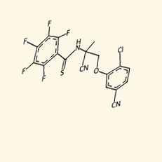 CC(C#N)(COc1cc(C#N)ccc1Cl)NC(=S)c1c(F)c(F)c(F)c(F)c1F